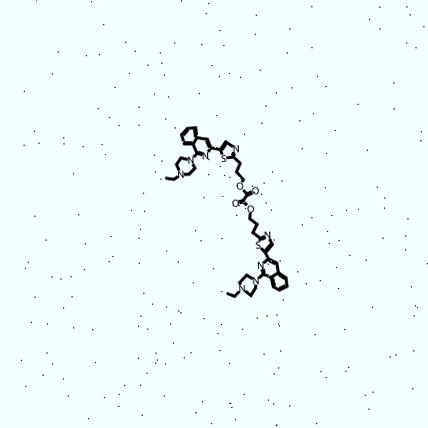 CCN1CCN(c2nc(-c3cnc(CCCOC(=O)C(=O)OCCCc4ncc(-c5cc6ccccc6c(N6CCN(CC)CC6)n5)s4)s3)cc3ccccc23)CC1